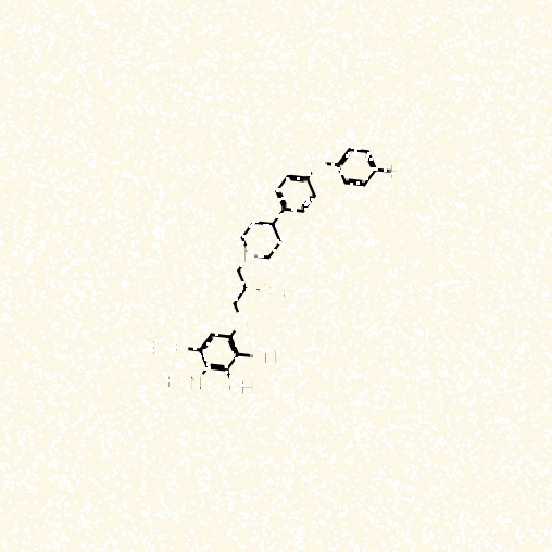 Cc1cc(OC[C@@H](O)CN2CCC(c3ccc(Oc4ccc(F)cc4)cc3)CC2)c(C)c(C)c1N